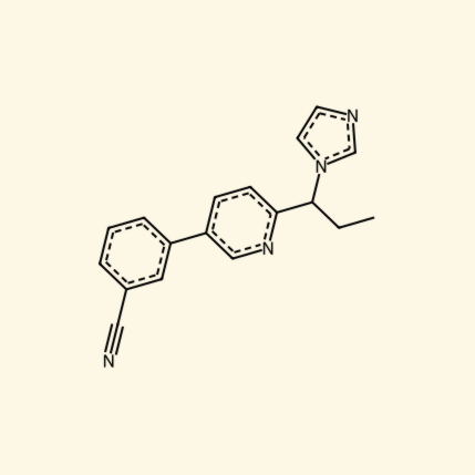 CCC(c1ccc(-c2cccc(C#N)c2)cn1)n1ccnc1